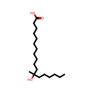 CCCCCCC(C)(O)CCCCCCCCCCC(=O)O